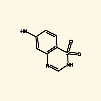 [NH]c1ccc2c(c1)N=CNS2(=O)=O